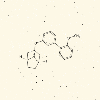 COc1ccccc1-c1cccc(O[C@@H]2C[C@H]3CC[C@@H](C2)N3)c1